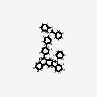 c1ccc(-c2nc3ccccc3n2-c2ccc(-c3ccc(-c4nc5ccccc5c5cc6c7ccccc7n(-c7ccccc7)c6cc45)cc3)cc2)cc1